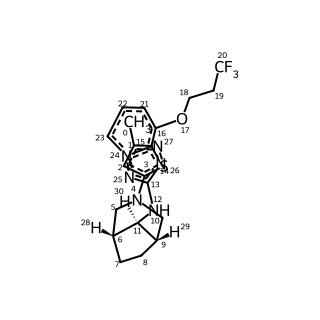 Cc1cc(N2C[C@H]3CC[C@@H](C2)[C@@H]3Nc2nc3c(OCCC(F)(F)F)cccn3n2)sn1